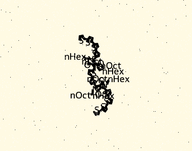 CCCCCCCCC(CCCCCC)CN1C(=O)C2=C(c3ccc(-c4ccc(-c5ccc(C6=CCCS6)s5)s4)s3)N(CC(CCCCCC)CCCCCCCC)C(=O)C2=C1c1ccc(-c2ccc(C3=C4C(=O)N(CC(CCCCCC)CCCCCCCC)C(c5ccc(-c6ccc(-c7ccc(-c8cccs8)s7)s6)s5)=C4C(=O)N3CC(CCCCCC)CCCCCCCC)s2)s1